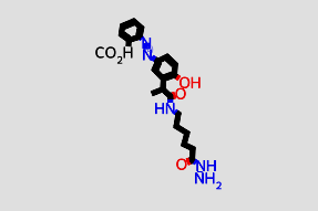 CC(C(=O)NCCCCCC(=O)NN)c1cc(/N=N/c2ccccc2C(=O)O)ccc1O